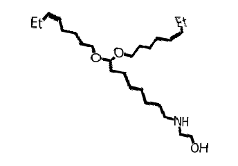 CC/C=C\CCCCOC(CCCCCCCNCCO)OCCCC/C=C\CC